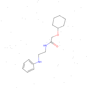 O=C(COC1CCCCC1)NCCNc1ccccc1